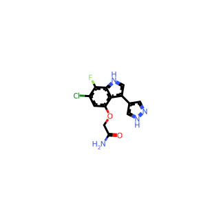 NC(=O)COc1cc(Cl)c(F)c2[nH]cc(-c3cn[nH]c3)c12